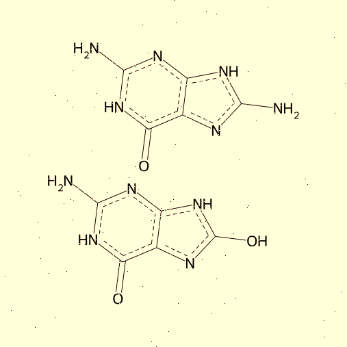 Nc1nc2[nH]c(N)nc2c(=O)[nH]1.Nc1nc2[nH]c(O)nc2c(=O)[nH]1